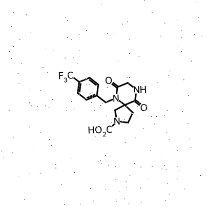 O=C(O)N1CCC2(C1)C(=O)NCC(=O)N2Cc1ccc(C(F)(F)F)cc1